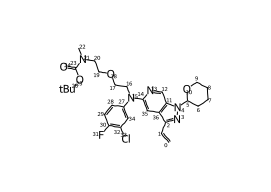 C=Cc1nn(C2CCCCO2)c2cnc(N(CCOCCN(C)C(=O)OC(C)(C)C)c3ccc(F)c(Cl)c3)cc12